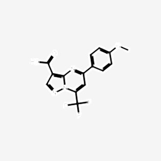 COc1ccc(-c2cc(C(F)(F)F)n3ncc(C(=O)O)c3n2)cc1